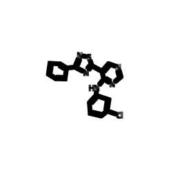 Clc1cccc(Nc2ncncc2-c2nc(-c3ccccc3)ns2)c1